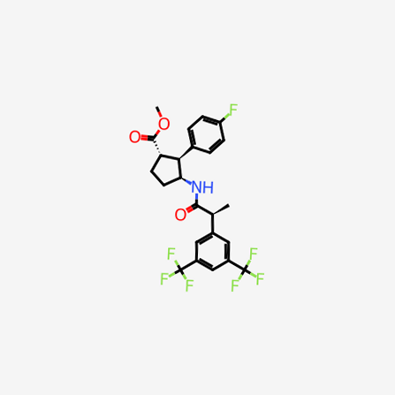 COC(=O)[C@H]1CC[C@H](NC(=O)[C@@H](C)c2cc(C(F)(F)F)cc(C(F)(F)F)c2)[C@@H]1c1ccc(F)cc1